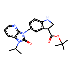 CC(C)n1c(=O)n(-c2ccc3c(c2)C(C(=O)OC(C)(C)C)CN3)c2ncccc21